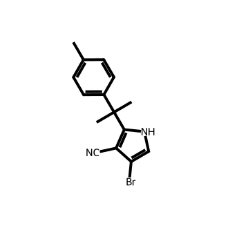 Cc1ccc(C(C)(C)c2[nH]cc(Br)c2C#N)cc1